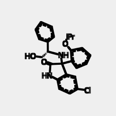 CC(C)Oc1ccccc1C1(N[C@H](CO)c2ccccc2)C(=O)Nc2ccc(Cl)cc21